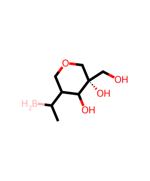 BC(C)C1COC[C@@](O)(CO)C1O